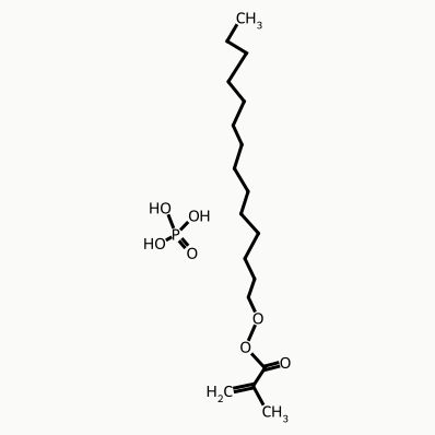 C=C(C)C(=O)OOCCCCCCCCCCCCCC.O=P(O)(O)O